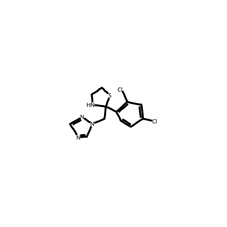 Clc1ccc(C2(Cn3cncn3)NCCS2)c(Cl)c1